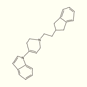 C1=C(n2ccc3ccccc32)CCN(CCC2Cc3ccccc3C2)C1